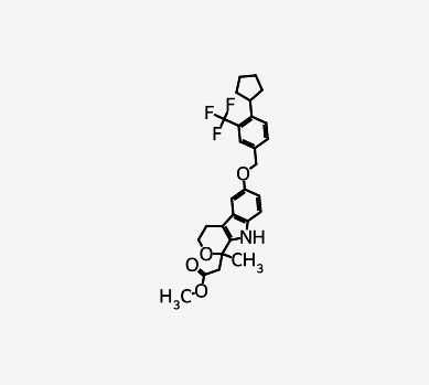 COC(=O)CC1(C)OCCc2c1[nH]c1ccc(OCc3ccc(C4CCCC4)c(C(F)(F)F)c3)cc21